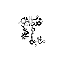 CN1CC[C@H]2CC[C@@H](C(=O)N[C@@H](CCC(N)=O)C(=O)N[C@@H](Cc3ccccc3)C(=O)N3CCC(CCC#Cc4cccc5c4CN(C4CCC(=O)NC4=O)C5=O)CC3)N2C(=O)[C@@H](NC(=O)c2cc3cc(C(F)(F)P(=O)(O)O)ccc3s2)C1